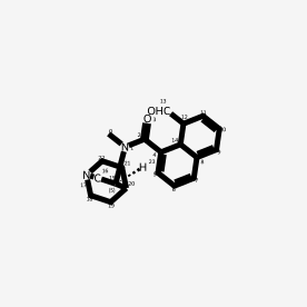 CN(C(=O)C1=CC=CC2=CC=CC(C=O)C21)[C@@H]1CN2CCC1CC2